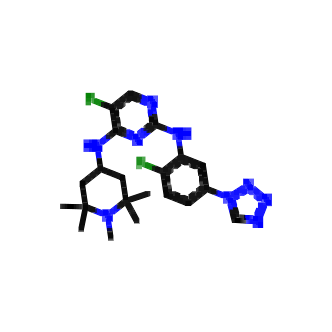 CN1C(C)(C)CC(Nc2nc(Nc3cc(-n4cnnn4)ccc3F)ncc2F)CC1(C)C